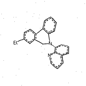 CCc1ccc2c(c1)CN(c1cccc3cccnc13)c1ccccc1-2